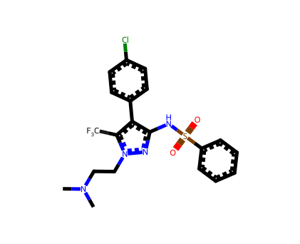 CN(C)CCn1nc(NS(=O)(=O)c2ccccc2)c(-c2ccc(Cl)cc2)c1C(F)(F)F